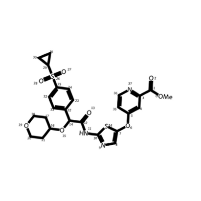 COC(=O)c1cc(Oc2cnc(NC(=O)C(OC3CCOCC3)c3ccc(S(=O)(=O)C4CC4)cc3)s2)ccn1